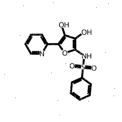 O=S(=O)(Nc1oc(-c2ccccn2)c(O)c1O)c1ccccc1